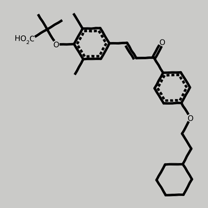 Cc1cc(C=CC(=O)c2ccc(OCCC3CCCCC3)cc2)cc(C)c1OC(C)(C)C(=O)O